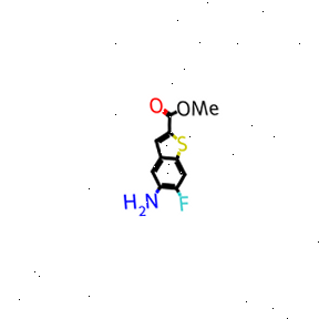 COC(=O)c1cc2cc(N)c(F)cc2s1